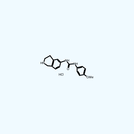 COc1ccc(NC(=O)Nc2ccc3c(c2)CCNC3)cc1.Cl